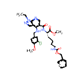 CCn1ncc2c(NCc3ccc(OC)c(Cl)c3)c(C(=O)N[C@@H](CCCCNC(=O)OCc3ccccc3)C(=O)OC)cnc21